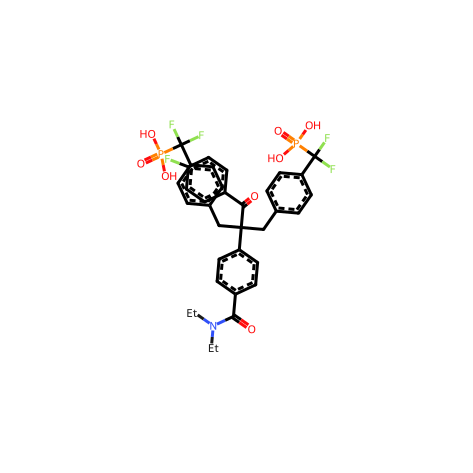 CCN(CC)C(=O)c1ccc(C(Cc2ccc(C(F)(F)P(=O)(O)O)cc2)(Cc2ccc(C(F)(F)P(=O)(O)O)cc2)C(=O)c2ccc(F)cc2)cc1